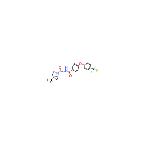 CC12CCN(C(=O)CNC(=O)c3ccc(Oc4ccc(C(F)(F)F)cc4)cc3)C1C2